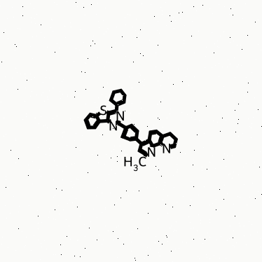 Cc1cc(-c2ccc(-c3nc(C4=CCCCC4)c4sc5ccccc5c4n3)cc2)c2ccc3c(c2n1)N=CCC3